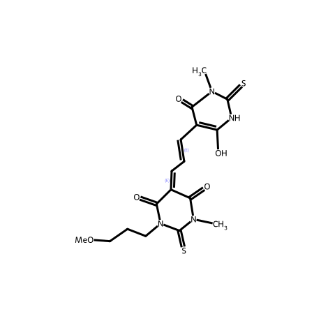 COCCCN1C(=O)/C(=C/C=C/c2c(O)[nH]c(=S)n(C)c2=O)C(=O)N(C)C1=S